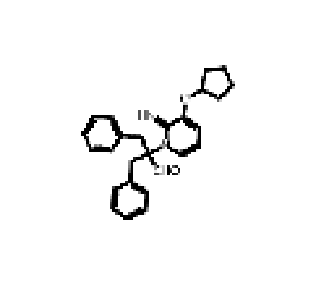 N=c1c(OC2CCCC2)cccn1C(C=O)(Cc1ccccc1)Cc1ccccc1